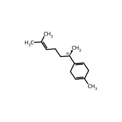 CC(C)=CCC[C@@H](C)C1=CCC(C)=CC1